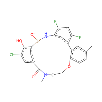 Cc1ccc2c(c1)-c1cc(c(F)cc1F)N[S+]([O-])c1cc(cc(Cl)c1O)C(=O)N(C)CCO2